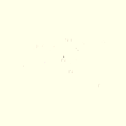 C=C(/C(F)=C\C1=C(C)CCO1)[C@@H]1CN/C(=N\OCCO)[C@H]1NC(=O)Nc1ccc(F)cc1